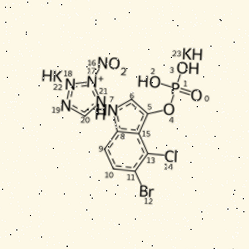 O=P(O)(O)Oc1c[nH]c2ccc(Br)c(Cl)c12.O=[N+]([O-])[n+]1nnc[nH]1.[KH].[KH]